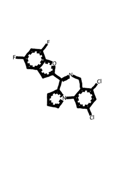 Fc1cc(F)c2oc(C3=NCc4c(Cl)cc(Cl)cc4-n4cccc43)cc2c1